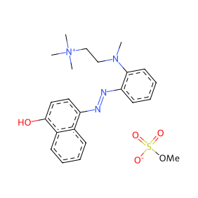 CN(CC[N+](C)(C)C)c1ccccc1N=Nc1ccc(O)c2ccccc12.COS(=O)(=O)[O-]